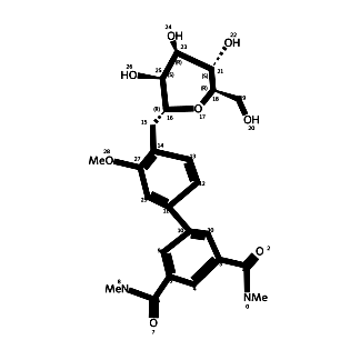 CNC(=O)c1cc(C(=O)NC)cc(-c2ccc(C[C@H]3O[C@H](CO)[C@@H](O)[C@H](O)[C@@H]3O)c(OC)c2)c1